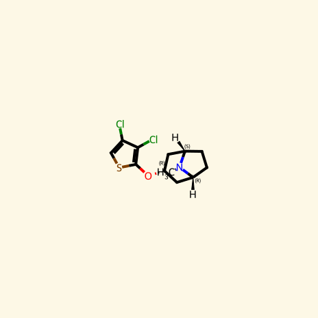 CN1[C@@H]2CC[C@H]1C[C@@H](Oc1scc(Cl)c1Cl)C2